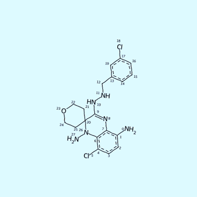 Nc1ccc(Cl)c2c1N=C(NNCc1cccc(Cl)c1)C1(CCOCC1)N2N